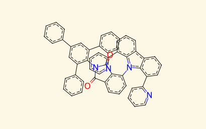 O=C1c2cccc(-n3c4c(-c5ccccn5)cccc4c4cccc(-c5ccccn5)c43)c2C(=O)N1c1c(-c2ccccc2)cc(-c2ccccc2)cc1-c1ccccc1